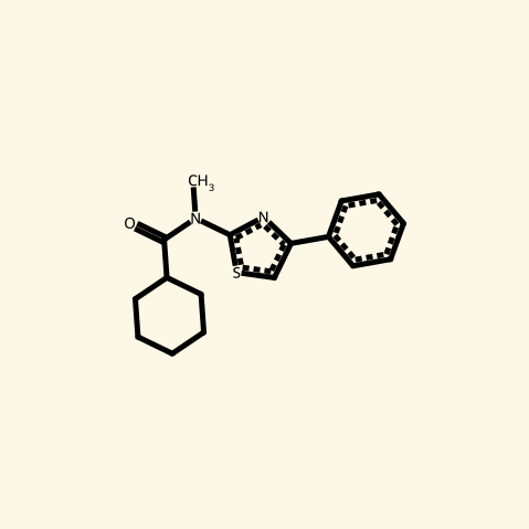 CN(C(=O)C1CCCCC1)c1nc(-c2ccccc2)cs1